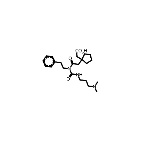 CN(C)CCCNC(=O)N(CCc1ccccc1)C(=O)CC1(CC(=O)O)CCCC1